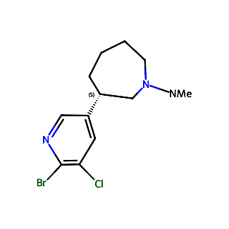 CNN1CCCC[C@@H](c2cnc(Br)c(Cl)c2)C1